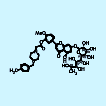 COc1ccc(-c2cc(=O)c3c(O)cc(OC4O[C@H]([C@H](O)[C@@H](O)[C@H](O)[C@@H](C)O)[C@@H](O)[C@H](O)[C@H]4O)cc3o2)cc1OC(=O)CN1CCN(Cc2ccc(C)cc2)CC1